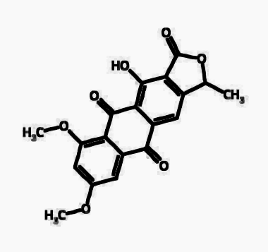 COc1cc(OC)c2c(c1)C(=O)c1cc3c(c(O)c1C2=O)C(=O)OC3C